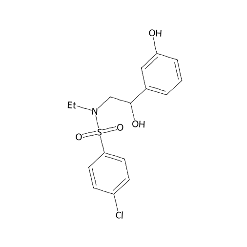 CCN(CC(O)c1cccc(O)c1)S(=O)(=O)c1ccc(Cl)cc1